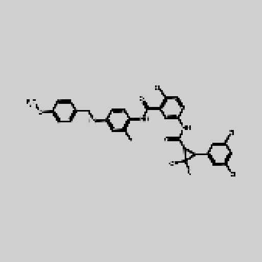 Cc1cc(NCc2ccc(OC(F)(F)F)cc2)ccc1NC(=O)c1cc(NC(=O)C2C(c3cc(Cl)cc(Cl)c3)C2(Cl)Cl)ccc1Cl